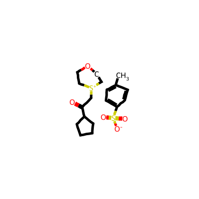 Cc1ccc(S(=O)(=O)[O-])cc1.O=C(C[S+]1CCOCC1)C1CCCC1